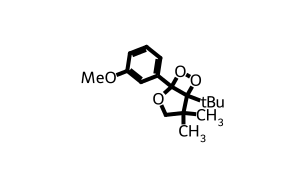 COc1cccc(C23OCC(C)(C)C2(C(C)(C)C)OO3)c1